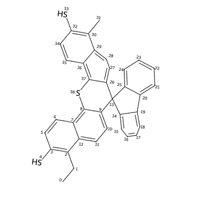 CCc1c(S)ccc2c3c(ccc12)C1(c2ccccc2-c2ccccc21)c1ccc2c(C)c(S)ccc2c1S3